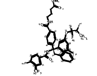 COC(=O)CCCNC(=O)c1ccc([C@@](Cc2ccccc2)(NC(=O)c2ccc(F)c(C(F)(F)F)c2)c2cc(F)cc(OC(F)(F)C(C)F)c2)cc1